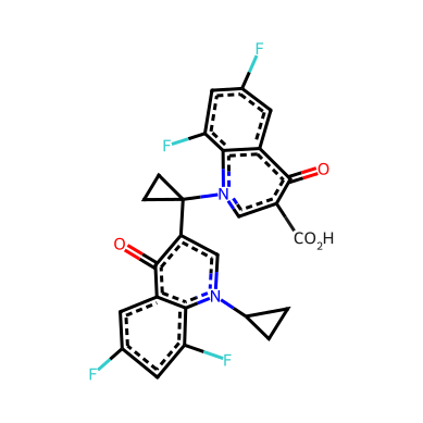 O=C(O)c1cn(C2(c3cn(C4CC4)c4c(F)cc(F)cc4c3=O)CC2)c2c(F)cc(F)cc2c1=O